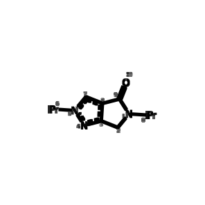 CC(C)N1Cc2nn(C(C)C)cc2C1=O